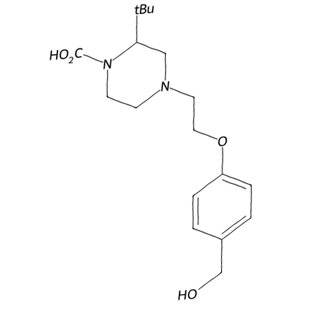 CC(C)(C)C1CN(CCOc2ccc(CO)cc2)CCN1C(=O)O